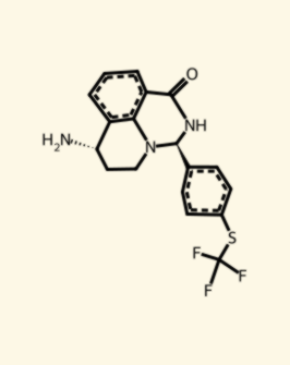 N[C@H]1CCN2c3c(cccc31)C(=O)N[C@H]2c1ccc(SC(F)(F)F)cc1